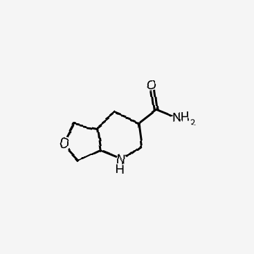 NC(=O)C1CNC2COCC2C1